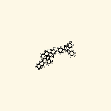 c1ccc(-c2nc(-c3ccc(-c4ccc5c(c4)nc(-c4ccccc4)c4c5ccc5ccc(-c6ccc7ccccc7c6)nc54)cc3)nc3ccccc23)cc1